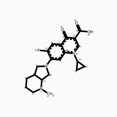 CN1CCCC2CN(c3cc4c(cc3F)c(=O)c(C(=O)O)cn4C3CC3)CC21